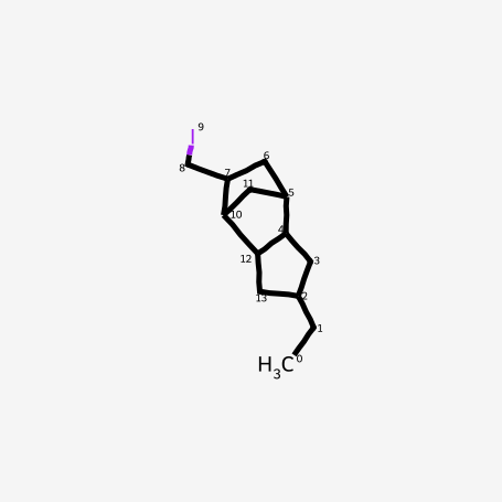 CCC1CC2C3CC(CI)C(C3)C2C1